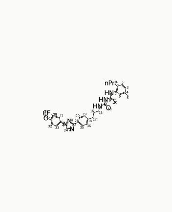 CCCc1ccc(C)cc1NC(=S)NC(=O)NCCCc1ccc(-c2ncn(-c3ccc(OC(F)(F)F)cc3)n2)cc1